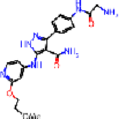 COCCOc1cc(Nc2[nH]nc(-c3ccc(NC(=O)CN)cc3)c2C(N)=O)ccn1